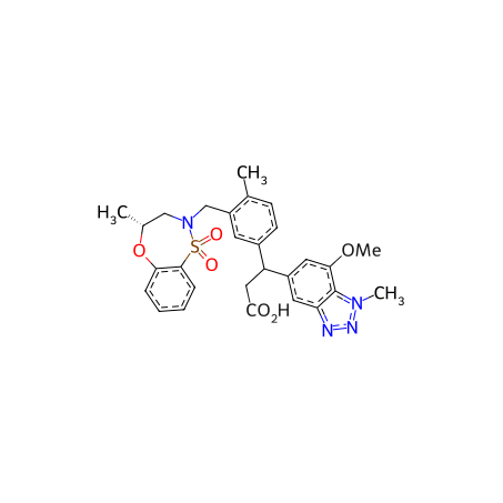 COc1cc(C(CC(=O)O)c2ccc(C)c(CN3C[C@@H](C)Oc4ccccc4S3(=O)=O)c2)cc2nnn(C)c12